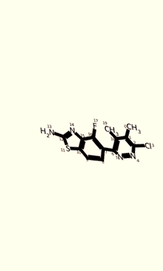 Cc1c(Cl)nnc(-c2ccc3sc(N)nc3c2F)c1C